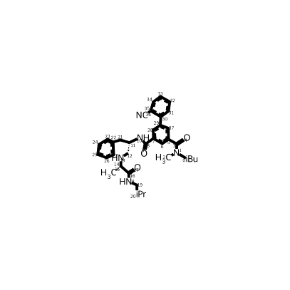 CCC(C)N(C)C(=O)c1cc(C(=O)N[C@H](CN[C@@H](C)C(=O)NCC(C)C)Cc2ccccc2)cc(-c2ccccc2C#N)c1